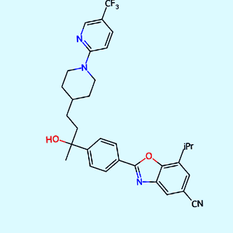 CC(C)c1cc(C#N)cc2nc(-c3ccc(C(C)(O)CCC4CCN(c5ccc(C(F)(F)F)cn5)CC4)cc3)oc12